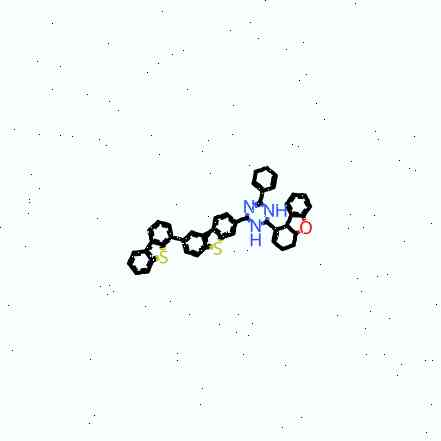 C1=CC(C2=NC(c3ccc4c(c3)sc3ccc(-c5cccc6c5sc5ccccc56)cc34)NC(C3=CCCC4Oc5ccccc5C34)N2)=CCC1